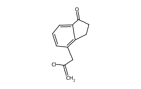 C=C(Cl)Cc1cccc2c1CCC2=O